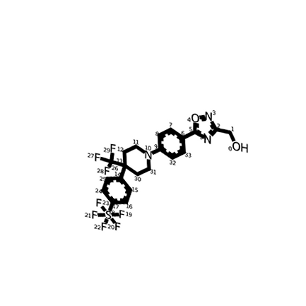 OCc1noc(-c2ccc(N3CCC(c4ccc(S(F)(F)(F)(F)F)cc4)(C(F)(F)F)CC3)cc2)n1